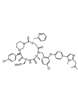 COC[C@@H]1NC(=O)[C@H](C)N(Cc2ccc(Cl)cc2Oc2ccc(-c3cnc(CN(C)C)n3C)cc2)C(=O)C[C@@H](Cc2ccccn2)C(=O)N2CCC[C@@](Cc3ccc(Cl)cc3)(C2)NC1=O